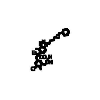 CCC(Cc1cc(Cl)c(C)c(CO)c1)(C(=O)O)c1ccc2c(nnn2CCCCOCc2ccccc2)c1C